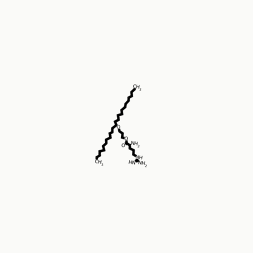 CCCCCCCCCCCCCC(CCCCCCCCCCCC)OCCCOC(=O)[C@@H](N)CCCNC(=N)N